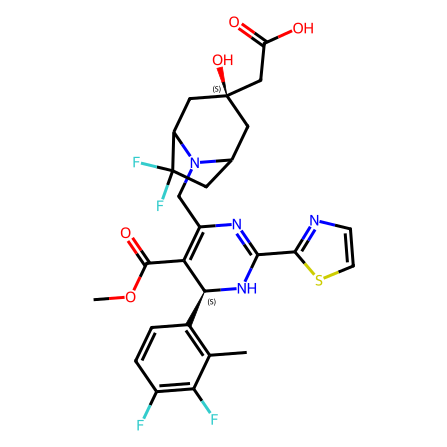 COC(=O)C1=C(CN2C3CC(F)(F)C2C[C@](O)(CC(=O)O)C3)N=C(c2nccs2)N[C@H]1c1ccc(F)c(F)c1C